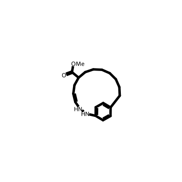 COC(=O)C1CC=CNNc2ccc(cc2)CCCCCCC1